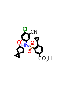 N#Cc1cc(NS(=O)(=O)c2cc(C(=O)O)ccc2C2CC2)c(OC2CCC3(CC3)C2)cc1Cl